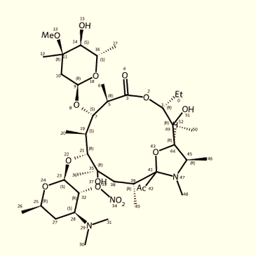 CC[C@H]1OC(=O)[C@H](C)[C@@H](O[C@H]2C[C@@](C)(OC)[C@@H](O)[C@H](C)O2)[C@H](C)[C@@H](O[C@@H]2O[C@H](C)C[C@H](N(C)C)[C@H]2O[N+](=O)[O-])[C@](C)(O)C[C@@H](C)C2(C(C)=O)O[C@H]([C@@H](C)N2C)[C@]1(C)O